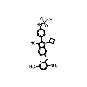 CCCS(=O)(=O)Nc1ccc(-c2c(C#N)c3ccc(Oc4nc(C)ccc4N)cc3n2C2CCC2)cc1